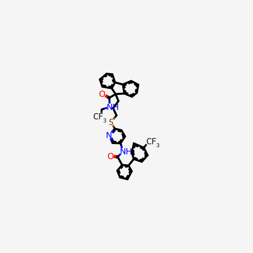 O=C(Nc1ccc(SCCCC2(C(=O)NCC(F)(F)F)c3ccccc3-c3ccccc32)nc1)c1ccccc1-c1ccc(C(F)(F)F)cc1